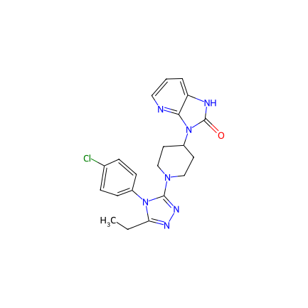 CCc1nnc(N2CCC(n3c(=O)[nH]c4cccnc43)CC2)n1-c1ccc(Cl)cc1